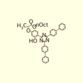 CCCCCCCCOC(=O)C(C)Oc1ccc(-c2nc(-c3ccc(-c4ccccc4)cc3)nc(-c3ccc(-c4ccccc4)cc3)n2)c(O)c1